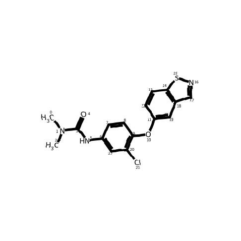 CN(C)C(=O)Nc1ccc(Oc2ccc3sncc3c2)c(Cl)c1